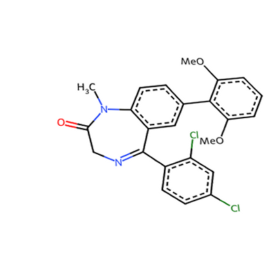 COc1cccc(OC)c1-c1ccc2c(c1)C(c1ccc(Cl)cc1Cl)=NCC(=O)N2C